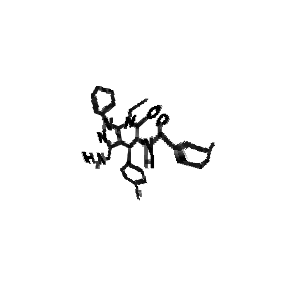 CCN1C(=O)[C@@H](NC(=O)c2cccc(C)c2)[C@@H](c2ccc(F)cc2)c2c(CN)nn(-c3ccccc3)c21